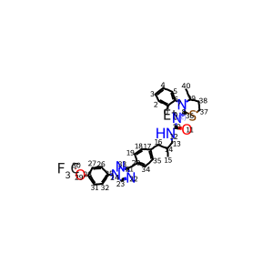 CCc1ccccc1N1/C(=N/C(=O)NCC(C)Cc2ccc(-c3ncn(-c4ccc(OC(F)(F)F)cc4)n3)cc2)SCCC1C